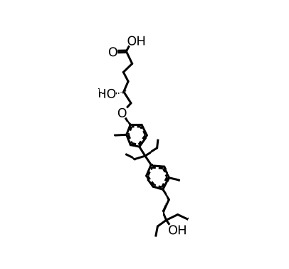 CCC(O)(CC)CCc1ccc(C(CC)(CC)c2ccc(OC[C@H](O)CCCC(=O)O)c(C)c2)cc1C